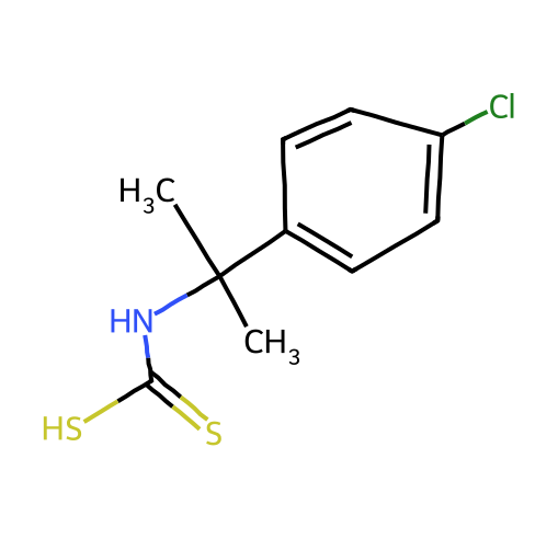 CC(C)(NC(=S)S)c1ccc(Cl)cc1